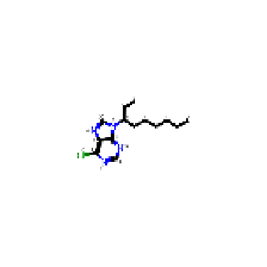 CCCCCCC(CC)n1cnc2c(Cl)ncnc21